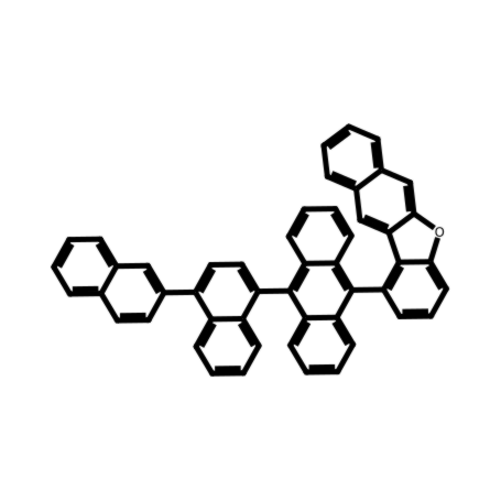 c1ccc2cc(-c3ccc(-c4c5ccccc5c(-c5cccc6oc7cc8ccccc8cc7c56)c5ccccc45)c4ccccc34)ccc2c1